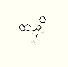 CCc1nc(N2CCc3ccccc3C2)c2nc(-c3ccccc3)cc-2[nH]1.Cl.O